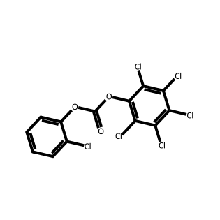 O=C(Oc1ccccc1Cl)Oc1c(Cl)c(Cl)c(Cl)c(Cl)c1Cl